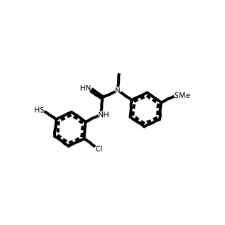 CSc1cccc(N(C)C(=N)Nc2cc(S)ccc2Cl)c1